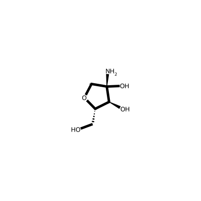 N[C@]1(O)[CH]O[C@@H](CO)[C@@H]1O